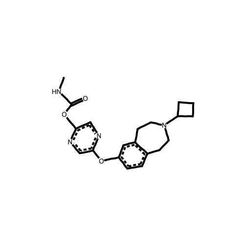 CNC(=O)Oc1cnc(Oc2ccc3c(c2)CCN(C2CCC2)CC3)cn1